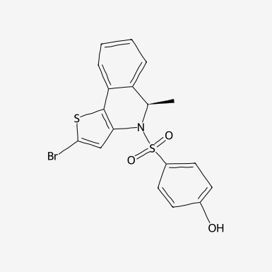 C[C@@H]1c2ccccc2-c2sc(Br)cc2N1S(=O)(=O)c1ccc(O)cc1